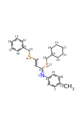 Cc1ccc(N=C(C=CSCc2ccccc2)SCC2CCCCC2)cc1